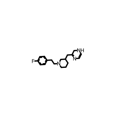 Fc1ccc(CCN2CCCC(CC3=NC=CNC3)C2)cc1